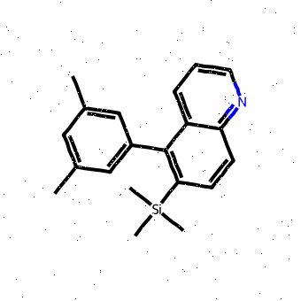 Cc1cc(C)cc(-c2c([Si](C)(C)C)ccc3ncccc23)c1